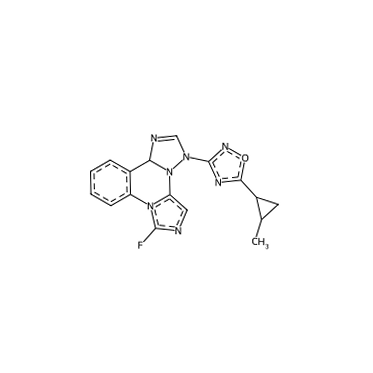 CC1CC1c1nc(N2C=NC3c4ccccc4-n4c(cnc4F)N32)no1